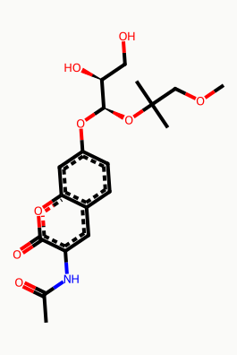 COCC(C)(C)O[C@@H](Oc1ccc2cc(NC(C)=O)c(=O)oc2c1)[C@@H](O)CO